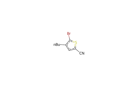 CCCCc1cc(C#N)sc1Br